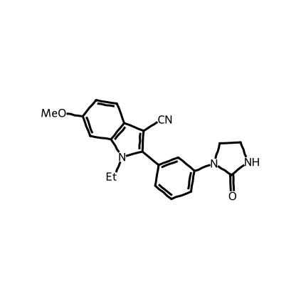 CCn1c(-c2cccc(N3CCNC3=O)c2)c(C#N)c2ccc(OC)cc21